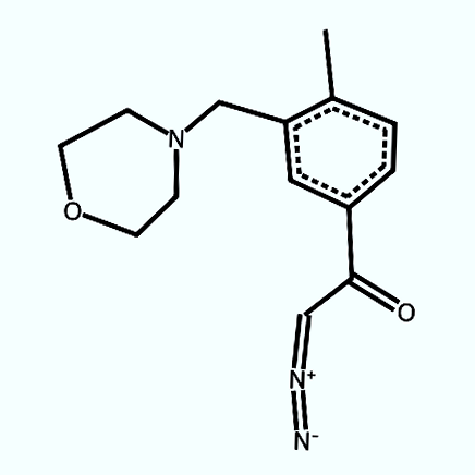 Cc1ccc(C(=O)C=[N+]=[N-])cc1CN1CCOCC1